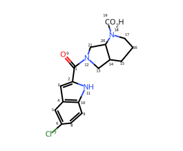 O=C(c1cc2cc(Cl)ccc2[nH]1)N1CC2CCCN(C(=O)O)C2C1